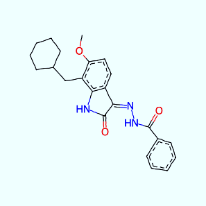 COc1ccc2c(c1CC1CCCCC1)NC(=O)/C2=N\NC(=O)c1ccccc1